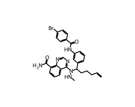 C=CCCCC(c1cccc(NC(=O)c2ccc(Br)cc2)c1)N(NC)c1ncnc2c(C(N)=O)cccc12